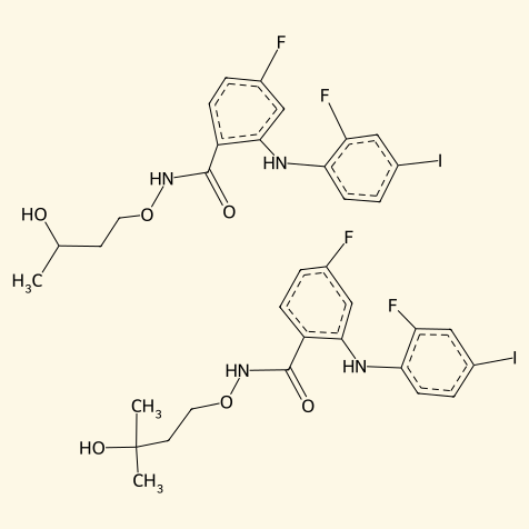 CC(C)(O)CCONC(=O)c1ccc(F)cc1Nc1ccc(I)cc1F.CC(O)CCONC(=O)c1ccc(F)cc1Nc1ccc(I)cc1F